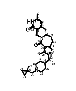 Cc1cc(C)c(CN2CCCc3sc([C@H](C)C4CCN(CC5(C)CC5)CC4)c(C)c3C2=O)c(=O)[nH]1